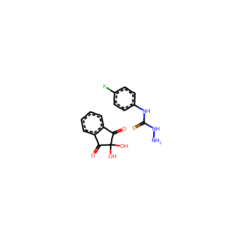 NNC(=S)Nc1ccc(F)cc1.O=C1c2ccccc2C(=O)C1(O)O